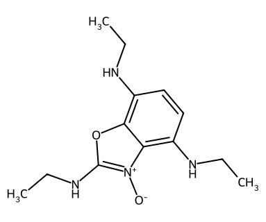 CCNc1ccc(NCC)c2c1oc(NCC)[n+]2[O-]